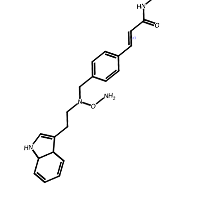 NON(CCC1=CNC2C=CC=CC12)Cc1ccc(/C=C/C(=O)NO)cc1